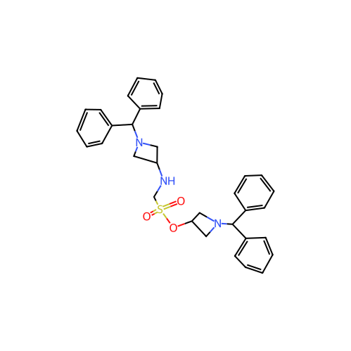 O=S(=O)(CNC1CN(C(c2ccccc2)c2ccccc2)C1)OC1CN(C(c2ccccc2)c2ccccc2)C1